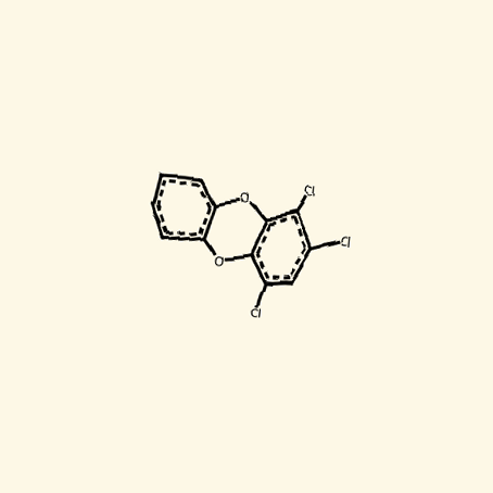 Clc1cc(Cl)c2c(c1Cl)Oc1ccccc1O2